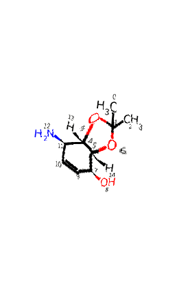 CC1(C)O[C@@H]2[C@H](O1)[C@@H](O)C=C[C@H]2N